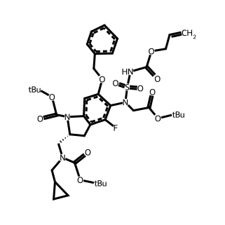 C=CCOC(=O)NS(=O)(=O)N(CC(=O)OC(C)(C)C)c1c(OCc2ccccc2)cc2c(c1F)C[C@H](CN(CC1CC1)C(=O)OC(C)(C)C)N2C(=O)OC(C)(C)C